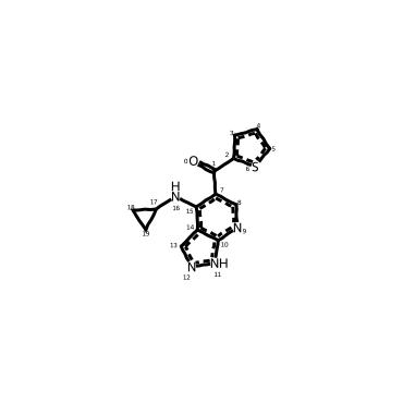 O=C(c1cccs1)c1cnc2[nH]ncc2c1NC1CC1